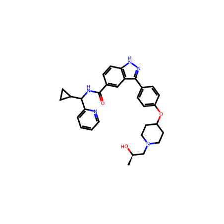 C[C@@H](O)CN1CCC(Oc2ccc(-c3n[nH]c4ccc(C(=O)NC(c5ccccn5)C5CC5)cc34)cc2)CC1